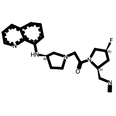 C=NC[C@@H]1C[C@H](F)CN1C(=O)CN1CC[C@@H](Nc2cccc3cccnc23)C1